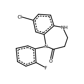 O=C1CCNc2ccc(Cl)cc2N1c1ccccc1F